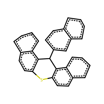 c1ccc2cc(C3c4c(ccc5ccccc45)Sc4ccc5ccccc5c43)ccc2c1